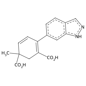 CC1(C(=O)O)C=CC(c2ccc3cn[nH]c3c2)=C(C(=O)O)C1